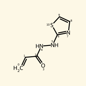 C=CC(=O)NNc1nccs1